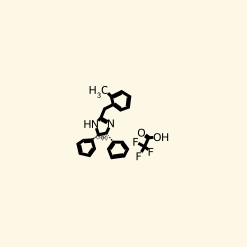 Cc1ccccc1CC1=N[C@H](c2ccccc2)[C@H](c2ccccc2)N1.O=C(O)C(F)(F)F